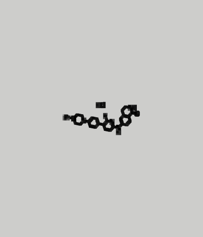 CC(C)N1CCN(c2ccc(-c3ccc(Nc4ccc5c(c4)CCNC5=O)nc3F)cc2)CC1.Cl